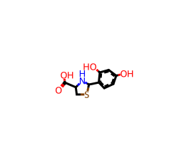 O=C(O)C1CSC(c2ccc(O)cc2O)N1